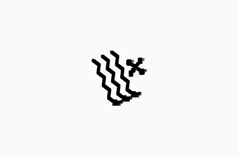 CCCCCC[CH2][Zn+].CCCCCC[CH2][Zn+].CCCCCC[CH2][Zn+].[O-]P([O-])(=S)[S-]